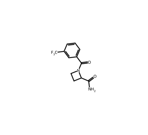 NC(=O)C1CCN1C(=O)c1cccc(C(F)(F)F)c1